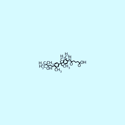 CCC(CC)(c1ccc(CCC(O)C(C)(C)C)c(C)c1)c1ccc(NC(=O)CCCC(=O)O)c(C)c1